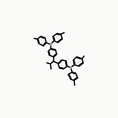 Cc1ccc(N(c2ccc(C)cc2)c2ccc(C(c3ccc(N(c4ccc(C)cc4)c4ccc(C)cc4)cc3)C(C)C)cc2)cc1